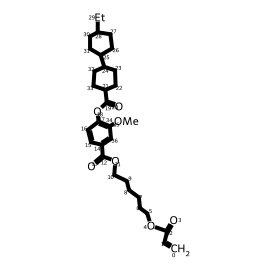 C=CC(=O)OCCCCCCOC(=O)c1ccc(OC(=O)C2CCC(C3CCC(CC)CC3)CC2)c(OC)c1